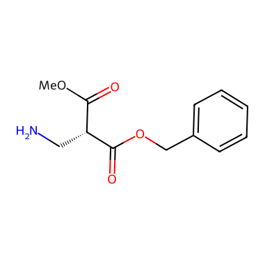 COC(=O)[C@@H](CN)C(=O)OCc1ccccc1